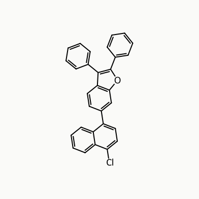 Clc1ccc(-c2ccc3c(-c4ccccc4)c(-c4ccccc4)oc3c2)c2ccccc12